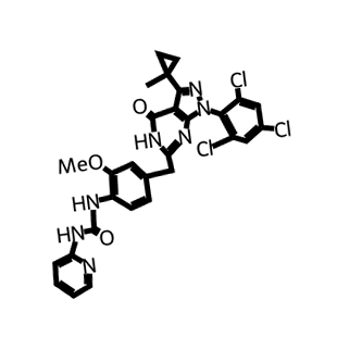 COc1cc(Cc2nc3c(c(C4(C)CC4)nn3-c3c(Cl)cc(Cl)cc3Cl)c(=O)[nH]2)ccc1NC(=O)Nc1ccccn1